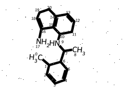 CC1C=CC=CC1C(C)NC1CC=CC2=C1C(N)=CCC2